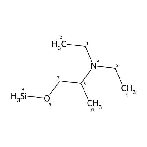 CCN(CC)C(C)CO[SiH3]